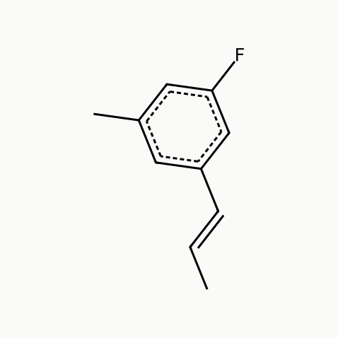 CC=Cc1cc(C)cc(F)c1